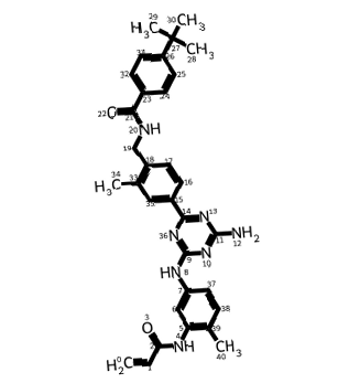 C=CC(=O)Nc1cc(Nc2nc(N)nc(-c3ccc(CNC(=O)c4ccc(C(C)(C)C)cc4)c(C)c3)n2)ccc1C